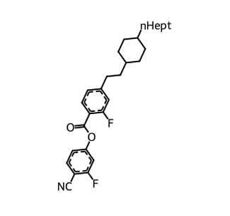 CCCCCCCC1CCC(CCc2ccc(C(=O)Oc3ccc(C#N)c(F)c3)c(F)c2)CC1